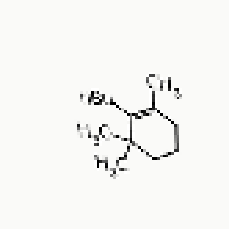 CCCCC1=C(C)CCCC1(C)C